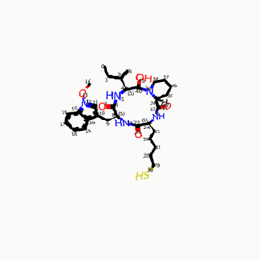 CCC(C)[C@@H]1NC(=O)[C@H](Cc2cn(OC)c3ccccc23)NC(=O)[C@H](CCCCCS)NC(=O)[C@H]2CCCCN2C1O